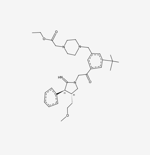 CCOC(=O)CN1CCN(Cc2cc(C(=O)CN3C[C@H](CCOC)[C@@H](c4ccccc4)C3=N)cc(C(C)(C)C)c2)CC1